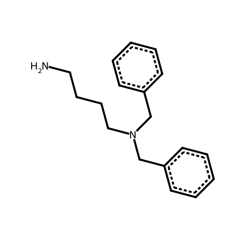 NCCCCN(Cc1ccccc1)Cc1ccccc1